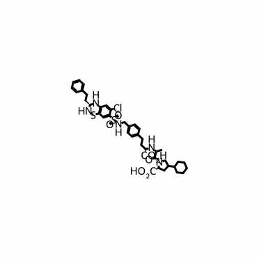 CC(N[C@@H](CCc1ccc(CNS(=O)(=O)c2cc3c(cc2Cl)N[C@H](CCc2ccccc2)NS3)cc1)C(=O)O)C(=O)N1CC(C2CCCCC2)C[C@H]1C(=O)O